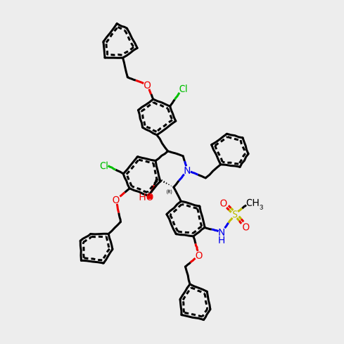 CS(=O)(=O)Nc1cc([C@H](CO)N(Cc2ccccc2)CC(c2ccc(OCc3ccccc3)c(Cl)c2)c2ccc(OCc3ccccc3)c(Cl)c2)ccc1OCc1ccccc1